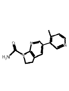 Cc1ccncc1-c1cnc2c(c1)CCN2C(N)=O